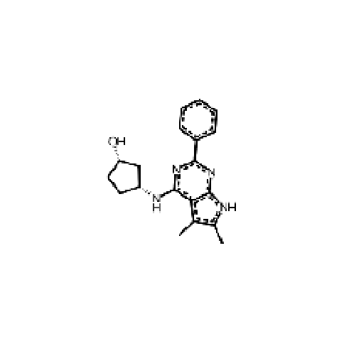 Cc1[nH]c2nc(-c3ccccc3)nc(N[C@@H]3CC[C@H](O)C3)c2c1C